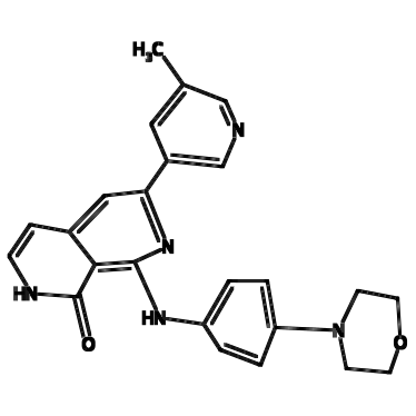 Cc1cncc(-c2cc3cc[nH]c(=O)c3c(Nc3ccc(N4CCOCC4)cc3)n2)c1